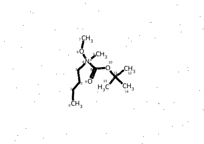 CCCC[N+](C)(OC)C(=O)OC(C)(C)C